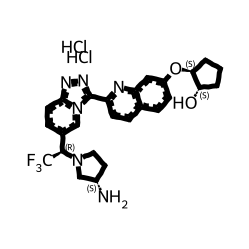 Cl.Cl.N[C@H]1CCN([C@H](c2ccc3nnc(-c4ccc5ccc(O[C@H]6CCC[C@@H]6O)cc5n4)n3c2)C(F)(F)F)C1